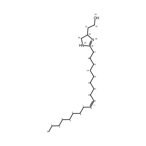 CCCCCCCC/C=C\CCCCCCCCC1=NC(CCO)CN1